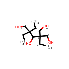 CCC(CC)(CO)C(O)C(CC)(CO)CO